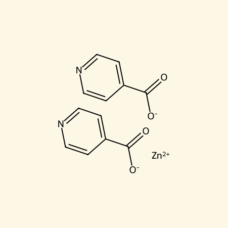 O=C([O-])c1ccncc1.O=C([O-])c1ccncc1.[Zn+2]